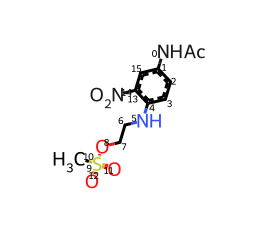 CC(=O)Nc1ccc(NCCOS(C)(=O)=O)c([N+](=O)[O-])c1